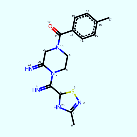 CC1=NSC(C(=N)N2CCN(C(=O)c3ccc(C)cc3)CC2=N)N1